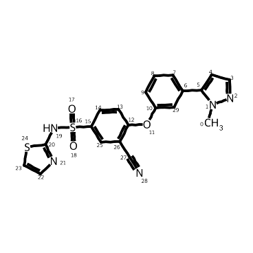 Cn1nccc1-c1cccc(Oc2ccc(S(=O)(=O)Nc3nccs3)cc2C#N)c1